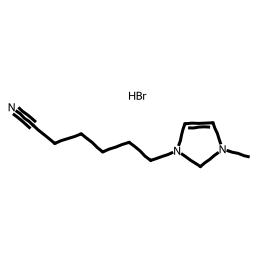 Br.CN1C=CN(CCCCCC#N)C1